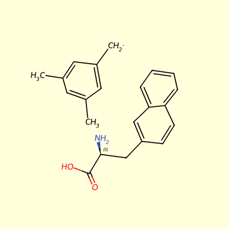 N[C@@H](Cc1ccc2ccccc2c1)C(=O)O.[CH2]c1cc(C)cc(C)c1